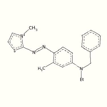 CCN(Cc1ccccc1)c1ccc(/N=N/c2scc[n+]2C)c(C)c1